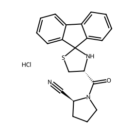 Cl.N#C[C@@H]1CCCN1C(=O)[C@@H]1CSC2(N1)c1ccccc1-c1ccccc12